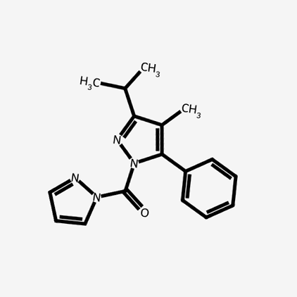 Cc1c(C(C)C)nn(C(=O)n2cccn2)c1-c1ccccc1